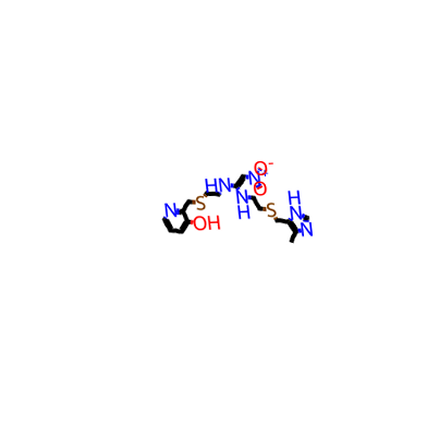 Cc1nc[nH]c1CSCCNC(=C[N+](=O)[O-])NCCSCc1ncccc1O